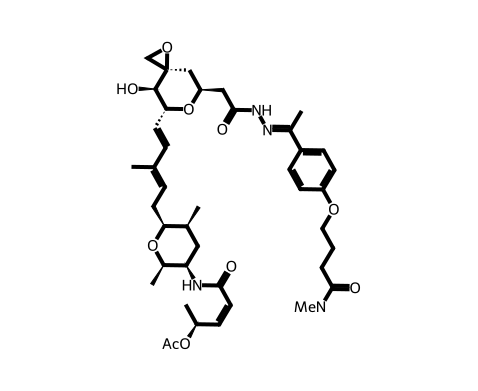 CNC(=O)CCCOc1ccc(/C(C)=N/NC(=O)C[C@@H]2C[C@@]3(CO3)[C@H](O)[C@@H](/C=C/C(C)=C/C[C@@H]3O[C@H](C)[C@H](NC(=O)/C=C\[C@H](C)OC(C)=O)C[C@@H]3C)O2)cc1